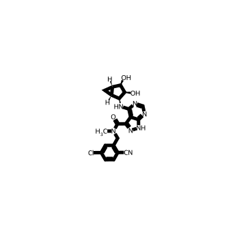 CN(Cc1cc(Cl)ccc1C#N)C(=O)c1n[nH]c2ncnc(N[C@H]3[C@H](O)[C@H](O)[C@@H]4C[C@@H]43)c12